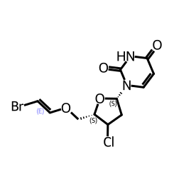 O=c1ccn([C@@H]2CC(Cl)[C@H](CO/C=C/Br)O2)c(=O)[nH]1